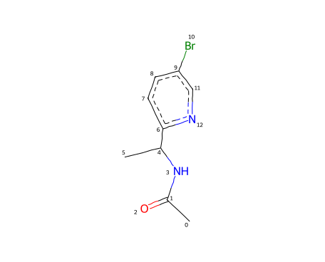 CC(=O)NC(C)c1ccc(Br)cn1